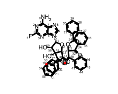 Nc1nc(F)nc2c1ncn2[C@@H]1O[C@](C(=O)c2ccccc2)(C(OC(=O)c2ccccc2)(C(=O)c2ccccc2)C(=O)c2ccccc2)[C@](O)(C(=O)c2ccccc2)[C@H]1O